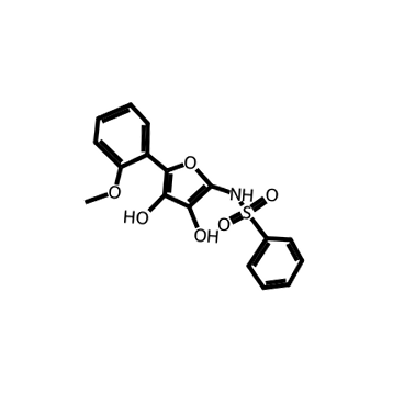 COc1ccccc1-c1oc(NS(=O)(=O)c2ccccc2)c(O)c1O